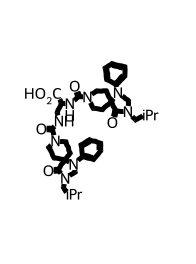 CC(C)CN1CN(c2ccccc2)C2(CCN(C(=O)NCC(NC(=O)N3CCC4(CC3)C(=O)N(CC(C)C)CN4c3ccccc3)C(=O)O)CC2)C1=O